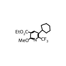 CCOC(=O)c1cc(C2CCCCC2)c(C(F)(F)F)nc1OC